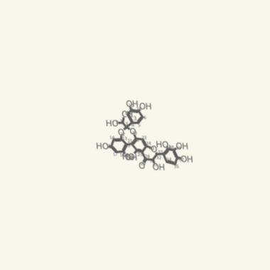 CC(O)C1(c2ccc(O)c(O)c2)Oc2cc(O)cc(O)c2-c2c(cc3c(c2O)C(=O)C(O)C(c2ccc(O)c(O)c2O)O3)O1